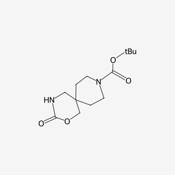 CC(C)(C)OC(=O)N1CCC2(CC1)CNC(=O)OC2